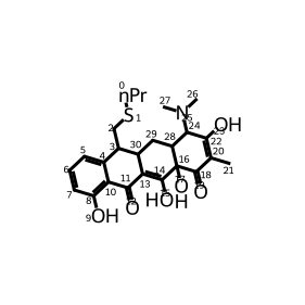 CCCSCC1c2cccc(O)c2C(=O)C2=C(O)C3(O)C(=O)C(C)=C(O)C(N(C)C)C3CC21